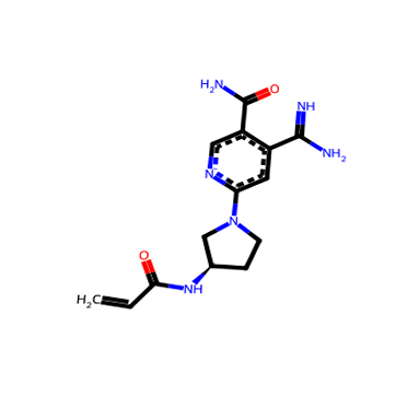 C=CC(=O)N[C@@H]1CCN(c2cc(C(=N)N)c(C(N)=O)cn2)C1